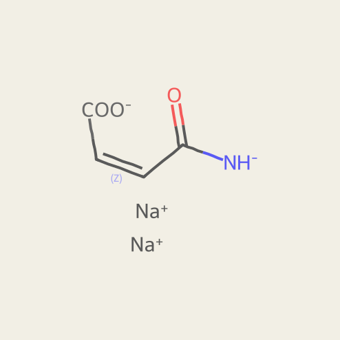 [NH-]C(=O)/C=C\C(=O)[O-].[Na+].[Na+]